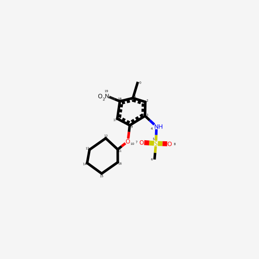 Cc1cc(NS(C)(=O)=O)c(OC2CCCCC2)cc1[N+](=O)[O-]